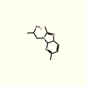 CC1=NC2C(C=C1)N=C(C)N2CC(C)P